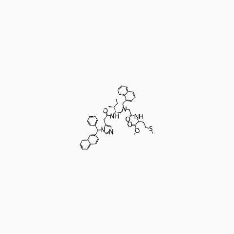 CC[C@H](C)[C@@H](CN(CC(=O)N[C@@H](CCSC)C(=O)OC)Cc1cccc2ccccc12)NC(=O)Cc1cncn1C(c1ccccc1)c1ccc2ccccc2c1